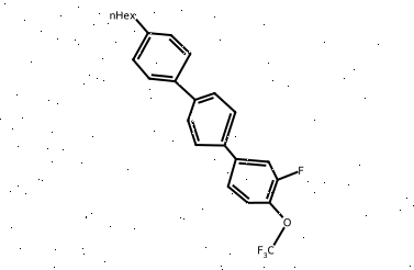 CCCCCCc1ccc(-c2ccc(-c3ccc(OC(F)(F)F)c(F)c3)cc2)cc1